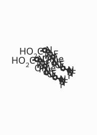 COCCn1c(Cc2cc(F)c(-c3cccc(OCc4ccc(-c5cnn(C(F)F)c5)cc4F)n3)cc2F)nc2ccc(C(=O)O)cc21.COCCn1c(Cc2cc(F)c(-c3cccc(OCc4ccc(-c5cnn(C(F)F)c5)cc4F)n3)cc2F)nc2ccc(C(=O)O)cc21